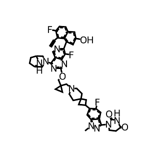 C#Cc1c(F)ccc2cc(O)cc(-c3ncc4c(N5CC6CCC(C5)N6)nc(OCC5(CN6CCC7(CC6)CC(c6cc8c(cc6F)c(N6CCC(=O)NC6=O)nn8C)C7)CC5)nc4c3F)c12